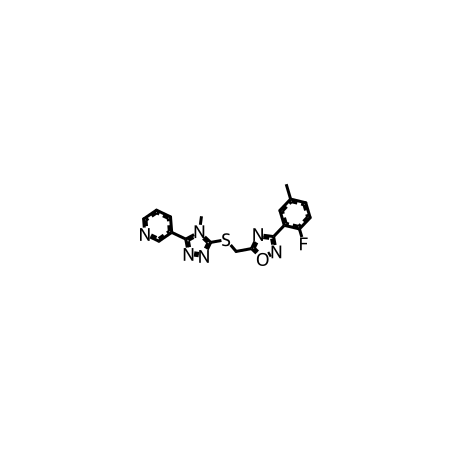 Cc1ccc(F)c(-c2noc(CSc3nnc(-c4cccnc4)n3C)n2)c1